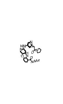 CNC(=O)c1ccccc1Nc1cc(Nc2cnn(CC(=O)N3CCCC3)c2)ncc1Cl